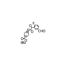 CC(C)(C)OC(=O)N1CCN(OC(=O)C(=O)c2cc(C=O)ccc2F)CC1